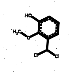 COc1c(O)cccc1C(Cl)Cl